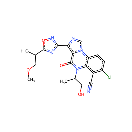 COCC(C)c1nc(-c2ncn3c2c(=O)n(C(C)CO)c2c(C#N)c(Cl)ccc23)no1